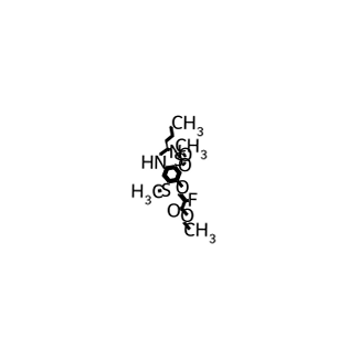 CCCC[C@@H]1CNc2cc(SC)c(O/C=C(\F)C(=O)OCC)cc2S(=O)(=O)N1C